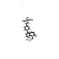 CCn1c(=O)ccc2c(N3CCC(CCP(=O)(O)O)CC3)ncnc21